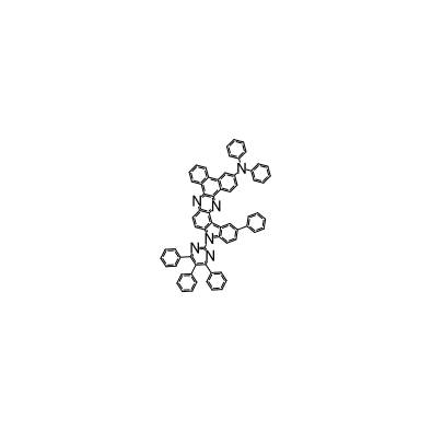 c1ccc(-c2ccc3c(c2)c2c4nc5c6ccc(N(c7ccccc7)c7ccccc7)cc6c6ccccc6c5nc4ccc2n3-c2nc(-c3ccccc3)c(-c3ccccc3)c(-c3ccccc3)n2)cc1